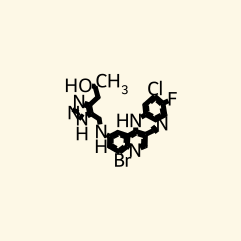 CC(O)Cc1nn[nH]c1CNc1cc(Br)c2ncc(C#N)c(Nc3ccc(F)c(Cl)c3)c2c1